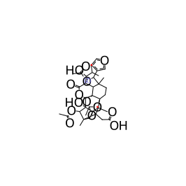 CC(=O)OC(c1ccoc1)C1(C)CCC23OC4(C)OC25C1/C(=C(/O)C(C)C)C(=O)OC5C1(O)C(OC(C)=O)C2(C)CC1(O4)C3(C)C2CC(=O)O